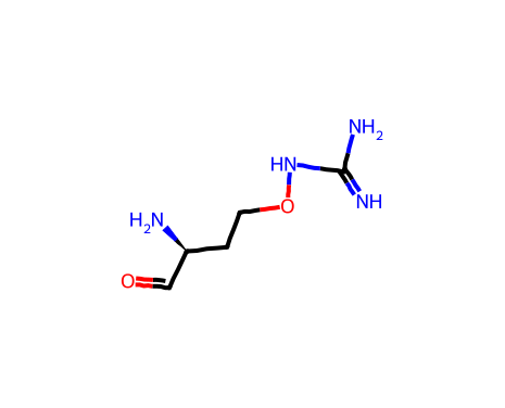 N=C(N)NOCC[C@H](N)C=O